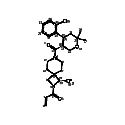 C=CC(=O)N1CC2(CCN(C(=O)[C@H]3COC(C)(C)C[C@@H]3c3ccccc3Cl)CC2)[C@@H]1C(F)(F)F